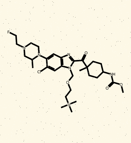 COC(=O)NC1CCC(C)(C(=O)c2nc3cc(N4CCN(CCF)CC4C)c(Cl)cc3n2COCC[Si](C)(C)C)CC1